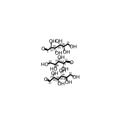 O=C[C@@H](O)[C@@H](O)[C@H](O)[C@H](O)CO.O=C[C@H](O)[C@@H](O)[C@H](O)CO.O=C[C@H](O)[C@@H](O)[C@H](O)[C@H](O)CO